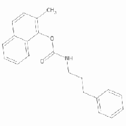 Cc1ccc2ccccc2c1OC(=O)NCCCc1ccccc1